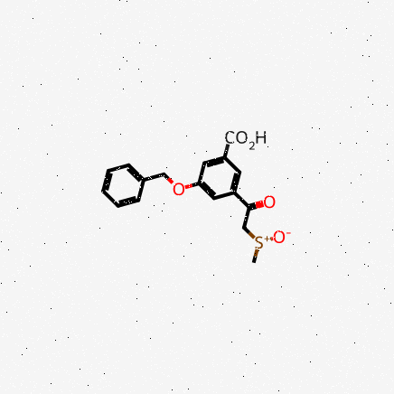 C[S+]([O-])CC(=O)c1cc(OCc2ccccc2)cc(C(=O)O)c1